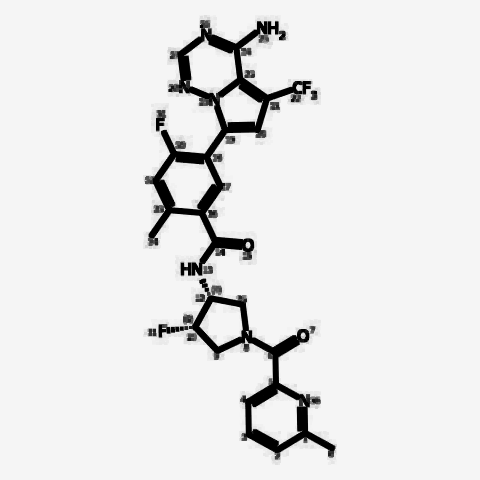 Cc1cccc(C(=O)N2C[C@H](F)[C@H](NC(=O)c3cc(-c4cc(C(F)(F)F)c5c(N)ncnn45)c(F)cc3C)C2)n1